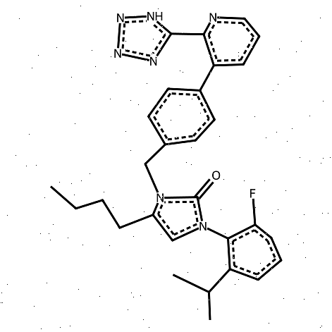 CCCCc1cn(-c2c(F)cccc2C(C)C)c(=O)n1Cc1ccc(-c2cccnc2-c2nnn[nH]2)cc1